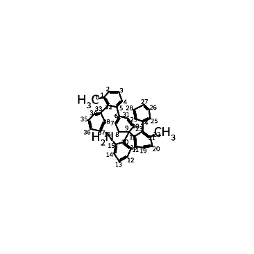 Cc1cccc(C2=CCC(c3ccccc3N)(c3cccc(C)c3-c3ccccc3)C=C2)c1-c1ccccc1